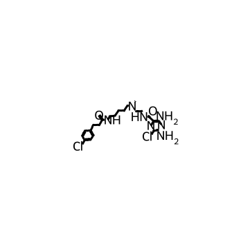 CN(CCCCCNC(=O)CCc1ccc(Cl)cc1)CCNC(=O)c1nc(Cl)c(N)nc1N